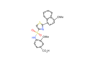 COc1cc(C(=O)O)ccc1NS(=O)(=O)c1csc(-c2ccc(OC)c3ccccc23)n1